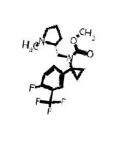 COC(=O)N(C[C@H]1CCCN1C)C1(c2ccc(F)c(C(F)(F)F)c2)CC1